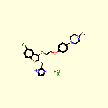 CC(=O)N1CCN(c2ccc(OCCO[C@H]3c4cc(Cl)ccc4S[C@H]3Cc3ncc[nH]3)cc2)CC1.Cl.Cl